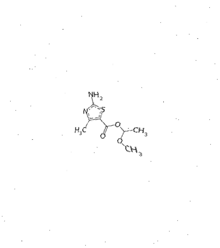 COC(C)OC(=O)c1sc(N)nc1C